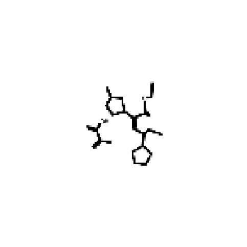 C=C(C)C(=O)O.CCOC(=O)C(=CC(CC)C1CCCC1)C1CCC(C)C1